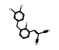 N#CC(C#N)=Cc1cccc(Cc2ccc(Cl)c(Cl)c2)c1F